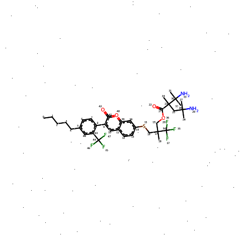 CCCCCc1ccc(-c2cc3ccc(SCC(C)(COC(=O)C(C)(CC(C)(C)N)C(C)(C)N)C(F)(F)F)cc3oc2=O)c(C(F)(F)F)c1